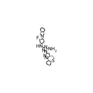 Nc1nc(Nc2ccc(N3Cc4ccccc4C3)c(F)c2)nn1-c1cc2c(nn1)-c1ccccc1SCC2